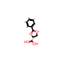 OC(O)[C@H]1COC(c2ccccc2)O1